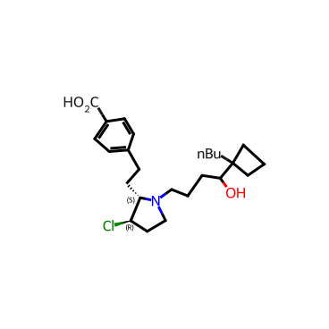 CCCCC1(C(O)CCCN2CC[C@@H](Cl)[C@@H]2CCc2ccc(C(=O)O)cc2)CCC1